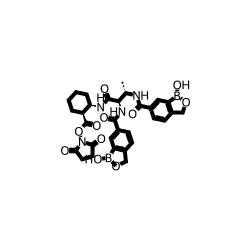 C[C@H](NC(=O)c1ccc2c(c1)B(O)OC2)[C@H](NC(=O)c1ccc2c(c1)B(O)OC2)C(=O)N[C@H]1CCCC[C@@H]1C(=O)ON1C(=O)CCC1=O